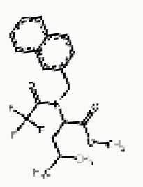 COC(=O)C(CC(C)C)N(Cc1ccc2ccccc2c1)C(=O)C(F)(F)F